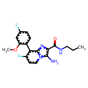 CCCNC(=O)c1nc2c(-c3ccc(F)cc3OC)c(F)ccn2c1N